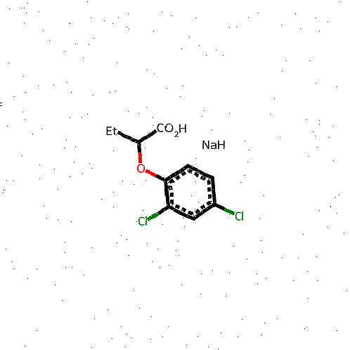 CCC(Oc1ccc(Cl)cc1Cl)C(=O)O.[NaH]